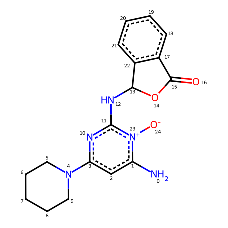 Nc1cc(N2CCCCC2)nc(NC2OC(=O)c3ccccc32)[n+]1[O-]